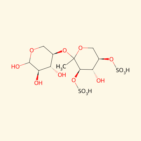 CC1(O[C@@H]2COC(O)[C@H](O)[C@H]2O)OC[C@@H](OS(=O)(=O)O)[C@H](O)[C@H]1OS(=O)(=O)O